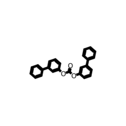 O=C(Oc1cccc(-c2ccccc2)c1)Oc1cccc(-c2ccccc2)c1